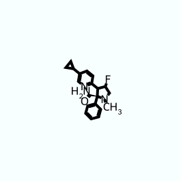 CN1CC(F)C(c2ccc(C3CC3)cn2)[C@@]1(C(N)=O)c1ccccc1